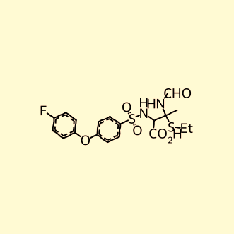 CCSC(C)(NC=O)C(NS(=O)(=O)c1ccc(Oc2ccc(F)cc2)cc1)C(=O)O